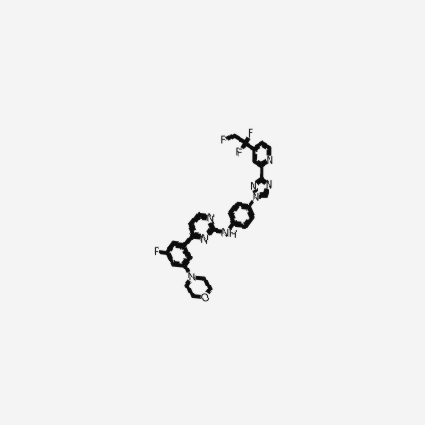 FCC(F)(F)c1ccnc(-c2ncn(-c3ccc(Nc4nccc(-c5cc(F)cc(N6CCOCC6)c5)n4)cc3)n2)c1